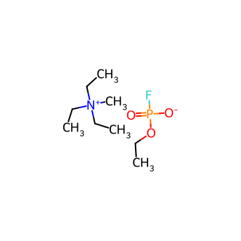 CCOP(=O)([O-])F.CC[N+](C)(CC)CC